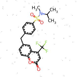 CC(C)N(C)S(=O)(=O)c1ccc(Cc2ccc3oc(=O)cc(C(F)(F)F)c3c2)cc1